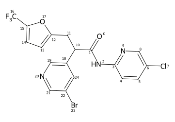 O=C(Nc1ccc(Cl)cn1)C(Cc1ccc(C(F)(F)F)o1)c1cncc(Br)c1